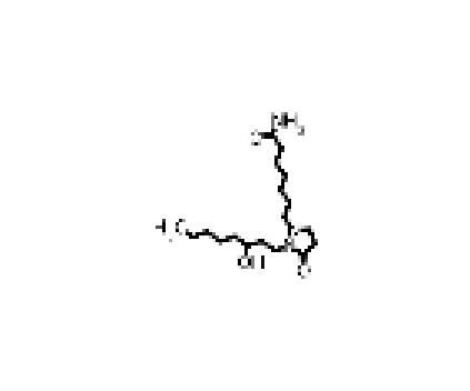 CCCCCC(O)CCN1C(=O)CCN1CCCCCCC(N)=O